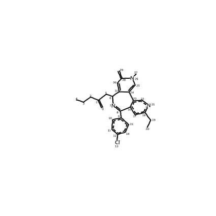 C=C(CCC)CC1N=C(c2ccc(Cl)cc2)c2cc(CC)ncc2C2=CN(C)C(=C)C=C21